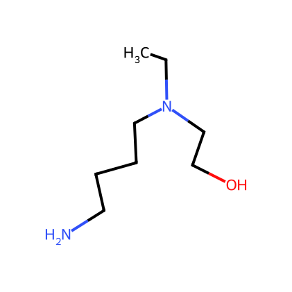 CCN(CCO)CCCCN